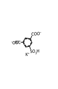 O=C([O-])c1cc(C(=O)[O-])cc(S(=O)(=O)O)c1.[K+].[K+]